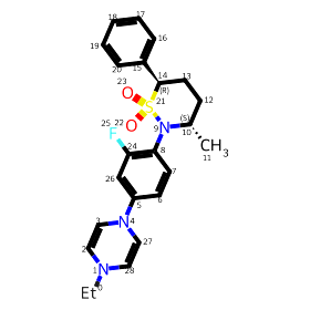 CCN1C=CN(c2ccc(N3[C@@H](C)CC[C@H](c4ccccc4)S3(=O)=O)c(F)c2)C=C1